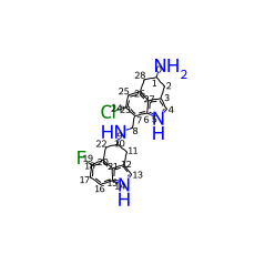 NC1Cc2c[nH]c3c(CNC4Cc5c[nH]c6ccc(F)c(c56)C4)c(Cl)cc(c23)C1